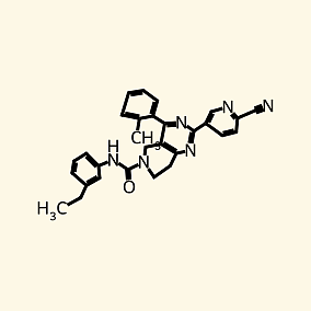 CCc1cccc(NC(=O)N2CCc3nc(-c4ccc(C#N)nc4)nc(-c4ccccc4C)c3C2)c1